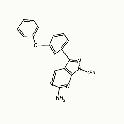 CCCCn1nc(-c2cccc(Oc3ccccc3)c2)c2cnc(N)nc21